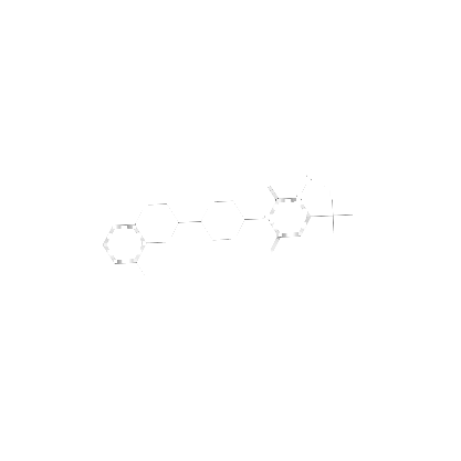 Nn1c(C(F)(F)F)cc(=O)n(C2COC(C3COc4cccc(Cl)c4O3)CO2)c1=O